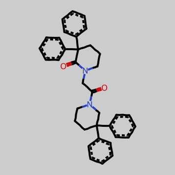 O=C(CN1CCCC(c2ccccc2)(c2ccccc2)C1=O)N1CCCC(c2ccccc2)(c2ccccc2)C1